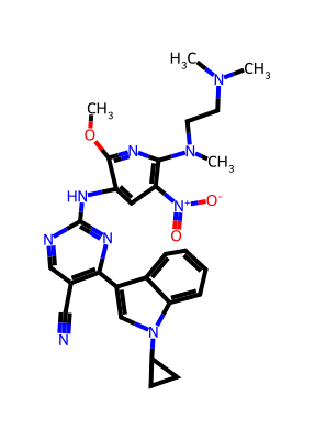 COc1nc(N(C)CCN(C)C)c([N+](=O)[O-])cc1Nc1ncc(C#N)c(-c2cn(C3CC3)c3ccccc23)n1